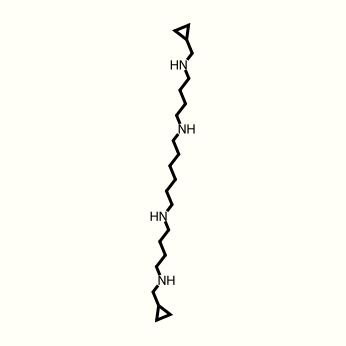 C(CCCNCCCCNCC1CC1)CCNCCCCNCC1CC1